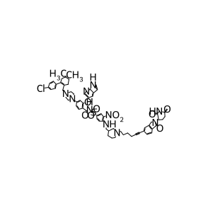 CC1(C)CCC(CN2CCN(c3ccc(C(=O)NS(=O)(=O)c4ccc(NCC5CCCN(CCCCC#Cc6ccc7c(c6)CN(C6CCC(=O)NC6=O)C7=O)C5)c([N+](=O)[O-])c4)c(Oc4cnc5[nH]ccc5c4)c3)CC2)=C(c2ccc(Cl)cc2)C1